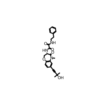 CN1C(=O)[C@@H](NC(=O)C(=O)NCCc2ccccc2)COc2ccc(C#CC(C)(C)O)cc21